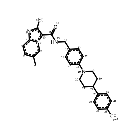 CCc1nc2ccc(C)cn2c1C(=O)NCc1ccc(N2CCC(c3ccc(C(F)(F)F)cc3)CC2)cc1